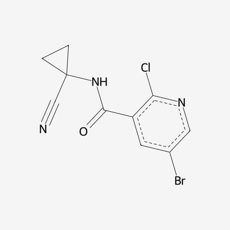 N#CC1(NC(=O)c2cc(Br)cnc2Cl)CC1